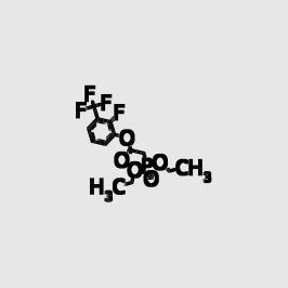 CCOP(=O)(CC(=O)Oc1cccc(C(F)(F)F)c1F)OCC